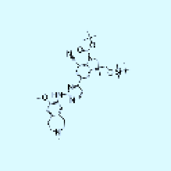 COc1cc2c(cc1Nc1nccc(-c3cc(C#N)c4c(c3)[C@@](C)(CO[Si](C)(C)C(C)(C)C)CN4C(=O)OC(C)(C)C)n1)CCN(C)CC2